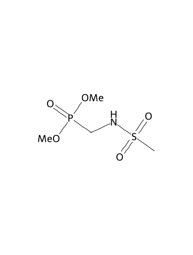 COP(=O)(CNS(C)(=O)=O)OC